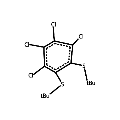 CC(C)(C)Sc1c(Cl)c(Cl)c(Cl)c(Cl)c1SC(C)(C)C